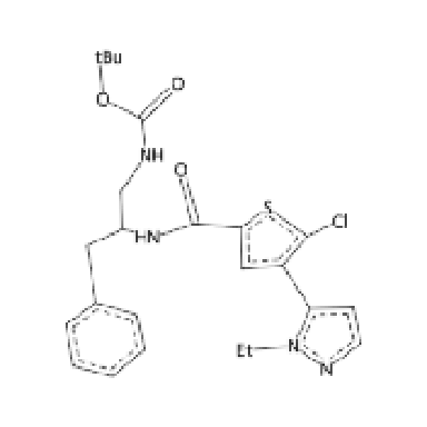 CCn1nccc1-c1cc(C(=O)NC(CNC(=O)OC(C)(C)C)Cc2ccccc2)sc1Cl